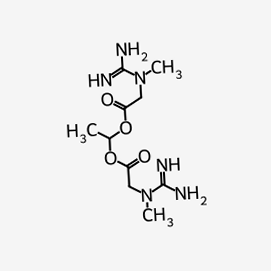 CC(OC(=O)CN(C)C(=N)N)OC(=O)CN(C)C(=N)N